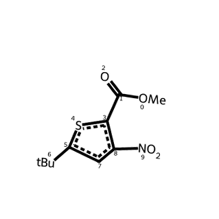 COC(=O)c1sc(C(C)(C)C)cc1[N+](=O)[O-]